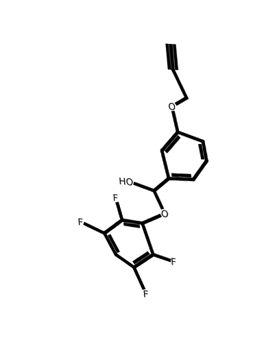 C#CCOc1cccc(C(O)Oc2c(F)c(F)cc(F)c2F)c1